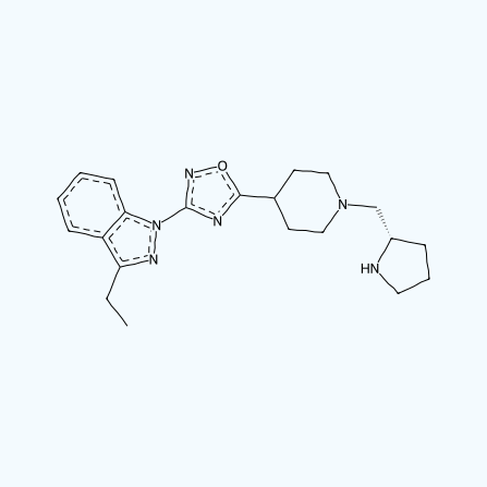 CCc1nn(-c2noc(C3CCN(C[C@@H]4CCCN4)CC3)n2)c2ccccc12